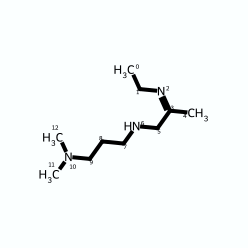 CC/N=C(/C)CNCCCN(C)C